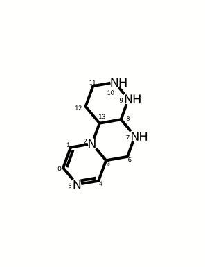 C1=CN2C(C=N1)CNC1NNCCC12